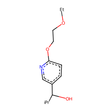 CCOCCOc1ccc(C(O)C(C)C)cn1